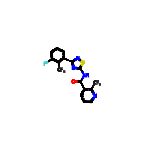 O=C(Nc1nc(-c2cccc(F)c2C(F)(F)F)ns1)c1cccnc1C(F)(F)F